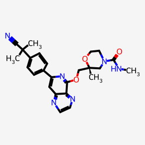 CNC(=O)N1CCO[C@@](C)(COc2nc(-c3ccc(C(C)(C)C#N)cc3)cc3nccnc23)C1